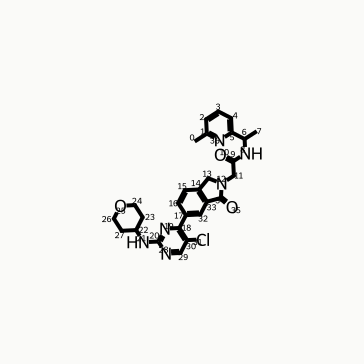 Cc1cccc(C(C)NC(=O)CN2Cc3ccc(-c4nc(NC5CCOCC5)ncc4Cl)cc3C2=O)n1